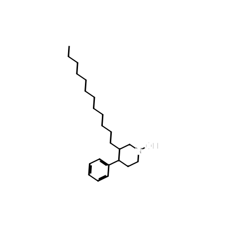 CCCCCCCCCCCCC1CN(O)CCC1c1ccccc1